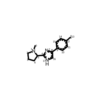 CN1CCCC1c1nc(-c2ccc(I)cc2)c[nH]1